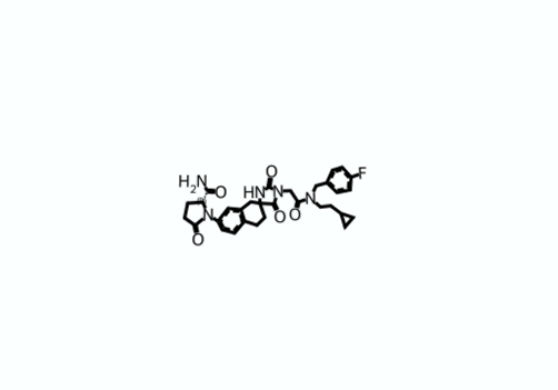 NC(=O)[C@H]1CCC(=O)N1c1ccc2c(c1)CC1(CC2)NC(=O)N(CC(=O)N(CCC2CC2)Cc2ccc(F)cc2)C1=O